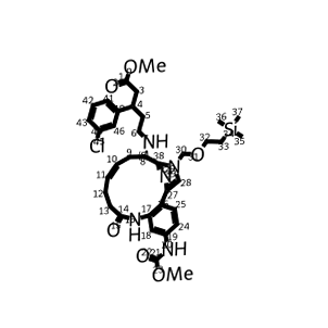 COC(=O)CC(CCN[C@H]1CC=CCCC(=O)Nc2cc(NC(=O)OC)ccc2-c2cn(COCC[Si](C)(C)C)c1n2)c1cccc(Cl)c1